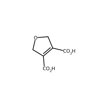 O=C(O)C1=C(C(=O)O)COC1